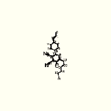 C/C=C/C1CCC(c2cc3c(c(C#N)c2C#N)OC(CCC)CC3)CC1